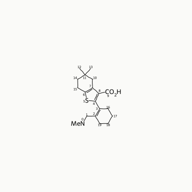 CNCC1=C(c2sc3c(c2C(=O)O)CC(C)(C)CC3)CCCC1